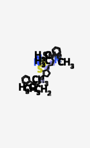 C=C(/C=C/C1=C(Sc2nnc(SC)s2)C(=C/C=C2/N(C)c3ccccc3C2(C)C)/CC1)C(C)(C)c1ccccc1C